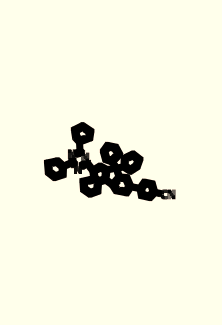 N#Cc1ccc(-c2ccc3c(c2)C(c2ccccc2)(c2ccccc2)c2cc(-c4nc(-c5ccccc5)nc(-c5ccccc5)n4)c4ccccc4c2-3)cc1